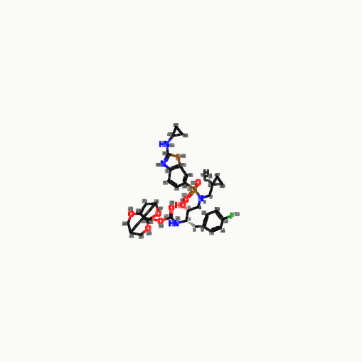 CC1(CN(C[C@@H](O)[C@H](Cc2ccc(F)cc2)NC(=O)OC2C3COC4CC2OC4OC3)S(=O)(=O)c2ccc3nc(NC4CC4)sc3c2)CC1